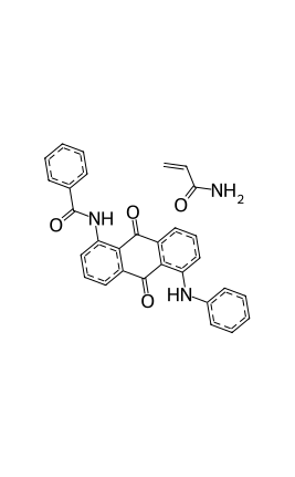 C=CC(N)=O.O=C(Nc1cccc2c1C(=O)c1cccc(Nc3ccccc3)c1C2=O)c1ccccc1